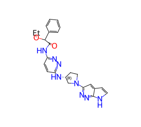 CCOC(C(=O)Nc1ccc(N[C@@H]2CCN(c3cc4cc[nH]c4nn3)C2)nn1)c1ccccc1